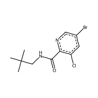 CC(C)(C)CNC(=O)c1ncc(Br)cc1Cl